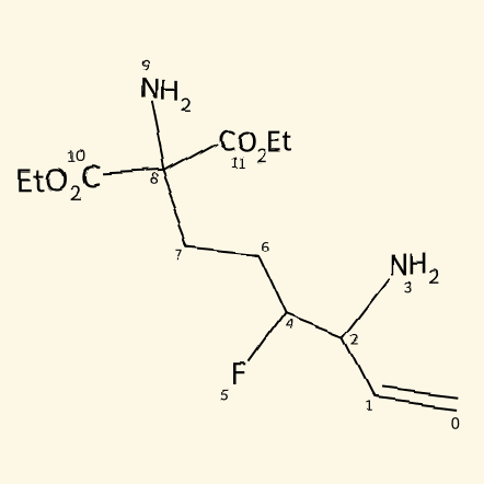 C=CC(N)C(F)CCC(N)(C(=O)OCC)C(=O)OCC